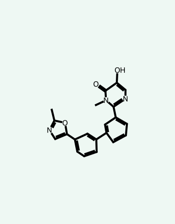 Cc1ncc(-c2cccc(-c3cccc(-c4ncc(O)c(=O)n4C)c3)c2)o1